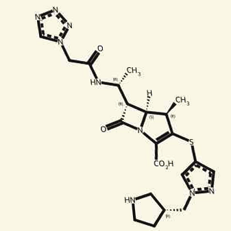 C[C@@H](NC(=O)Cn1cnnn1)[C@H]1C(=O)N2C(C(=O)O)=C(Sc3cnn(C[C@@H]4CCNC4)c3)[C@H](C)[C@H]12